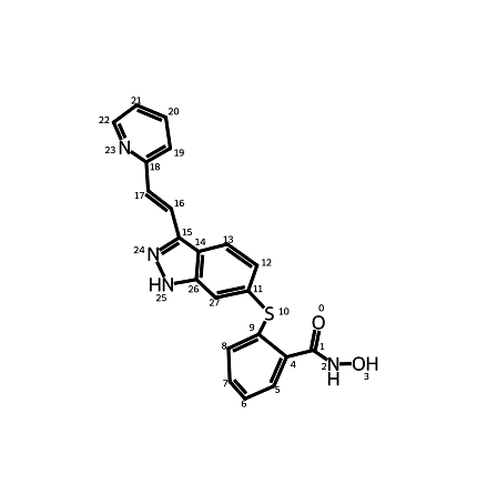 O=C(NO)c1ccccc1Sc1ccc2c(/C=C/c3ccccn3)n[nH]c2c1